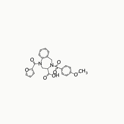 COc1ccc(S(=O)(=O)N2Cc3ccccc3N(C(=O)c3ccco3)CC2C(=O)O)cc1